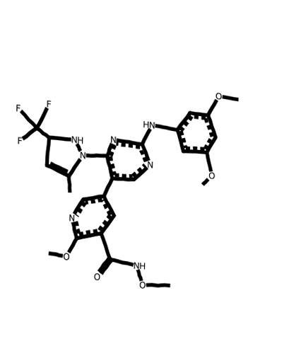 CONC(=O)c1cc(-c2cnc(Nc3cc(OC)cc(OC)c3)nc2N2NC(C(F)(F)F)C=C2C)cnc1OC